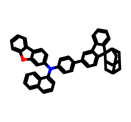 c1ccc2c(c1)-c1cc(-c3ccc(N(c4ccc5c(c4)oc4ccccc45)c4cccc5ccccc45)cc3)ccc1C21C2CC3CC(C2)CC1C3